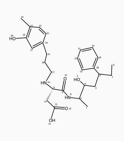 CCC(CC(O)C(C)NC(=O)[C@H](CC(=O)O)NCCCc1ccc(C)c(O)c1)c1ccccc1